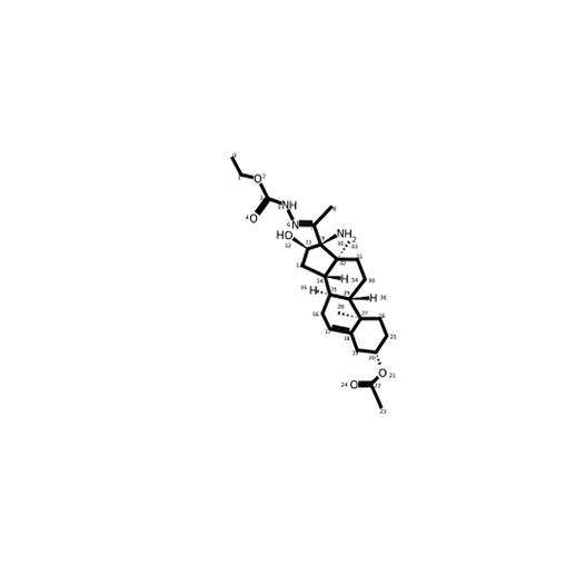 CCOC(=O)NN=C(C)[C@@]1(N)[C@H](O)C[C@H]2[C@@H]3CC=C4C[C@@H](OC(C)=O)CC[C@]4(C)[C@H]3CC[C@@]21C